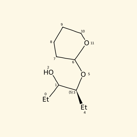 CCC(O)[C@H](CC)OC1CCCCO1